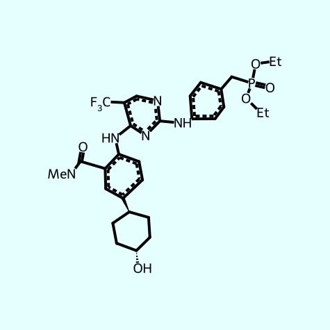 CCOP(=O)(Cc1ccc(Nc2ncc(C(F)(F)F)c(Nc3ccc([C@H]4CC[C@H](O)CC4)cc3C(=O)NC)n2)cc1)OCC